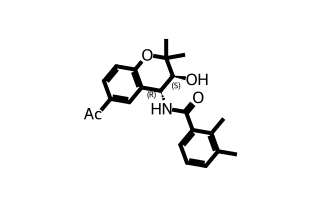 CC(=O)c1ccc2c(c1)[C@@H](NC(=O)c1cccc(C)c1C)[C@H](O)C(C)(C)O2